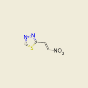 O=[N+]([O-])/C=C/c1nncs1